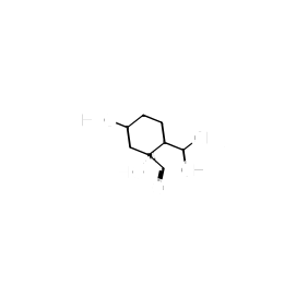 CC1CCC(C(C)C)[C@@](O)(C=O)C1